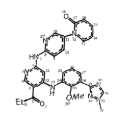 CCC(=O)c1cnc(Nc2ccc(-n3ccccc3=O)cn2)cc1Nc1cccc(-c2ncn(C)n2)c1OC